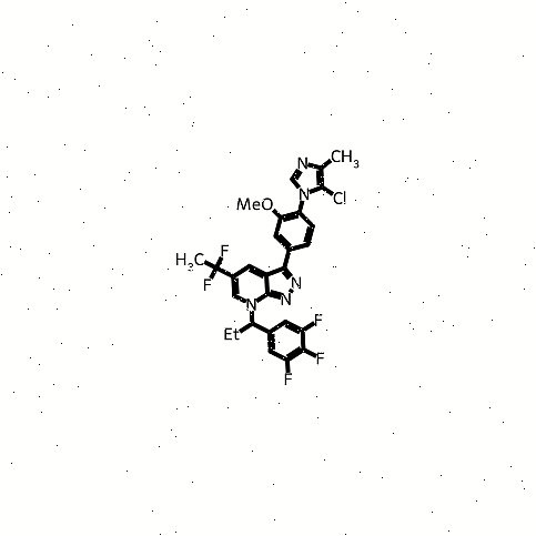 CCC(c1cc(F)c(F)c(F)c1)n1cc(C(C)(F)F)cc2c(-c3ccc(-n4cnc(C)c4Cl)c(OC)c3)nnc1-2